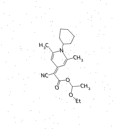 CCOC(C)OC(=O)C(C#N)=C1C=C(C)N(C2CCCCC2)C(C)=C1